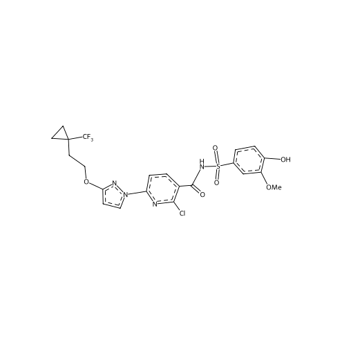 COc1cc(S(=O)(=O)NC(=O)c2ccc(-n3ccc(OCCC4(C(F)(F)F)CC4)n3)nc2Cl)ccc1O